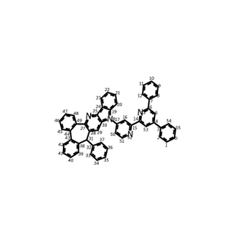 c1ccc(-c2cc(-c3ccccc3)nc(-c3cc(-n4c5ccccc5c5nc6c(cc54)C(c4ccccc4)c4ccccc4-c4ccccc4-6)ccn3)c2)cc1